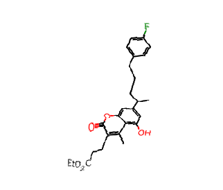 CCOC(=O)CCc1c(C)c2c(O)cc(C(C)CCCc3ccc(F)cc3)cc2oc1=O